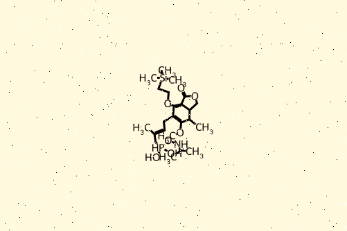 COC1=C(C/C=C(\C)C[PH](O)(O)ONC(C)C)C(OCC[Si](C)(C)C)=C2C(=O)OCC2C1C